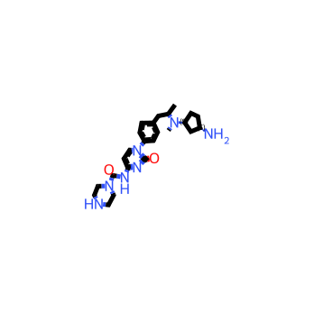 CC(Cc1ccc(-n2ccc(NC(=O)N3CCNCC3)nc2=O)cc1)N(C)[C@H]1CC[C@H](N)C1